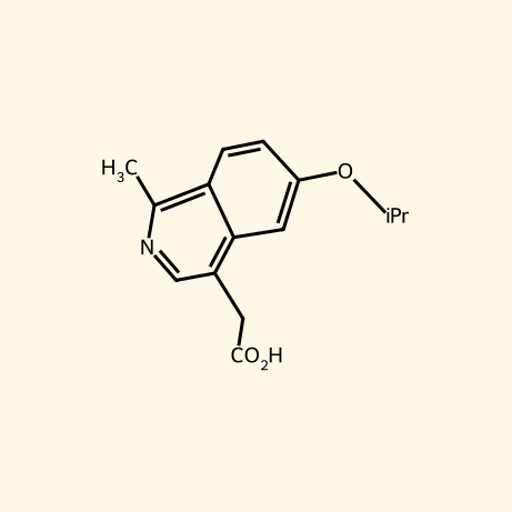 Cc1ncc(CC(=O)O)c2cc(OC(C)C)ccc12